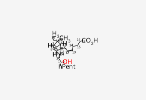 CCCCC[C@H](O)/C=C/[C@H]1C[C@H]2C[C@@H]([C@@H]1C/C=C\CCCC(=O)O)C2(C)C